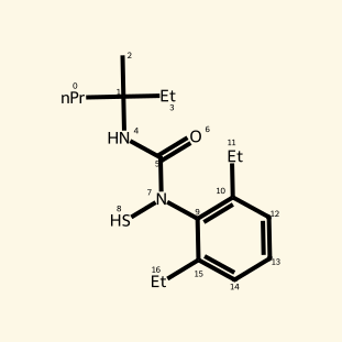 CCCC(C)(CC)NC(=O)N(S)c1c(CC)cccc1CC